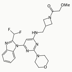 COCC(=O)N1CC(CNc2cc(-n3c(C(F)F)nc4ccccc43)nc(N3CCOCC3)n2)C1